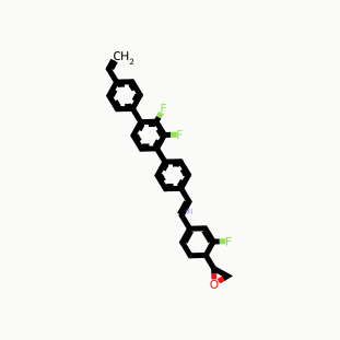 C=Cc1ccc(-c2ccc(-c3ccc(/C=C/C4=CCC(C5CO5)C(F)=C4)cc3)c(F)c2F)cc1